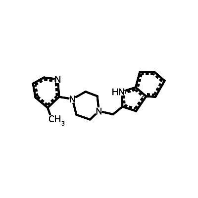 Cc1cccnc1N1CCN(Cc2cc3ccccc3[nH]2)CC1